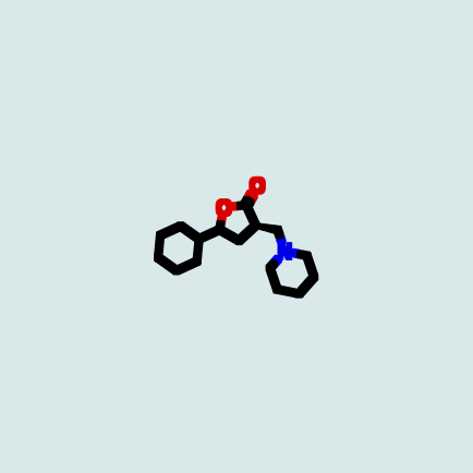 O=C1OC(C2CCCCC2)C[C@@H]1CN1CCCCC1